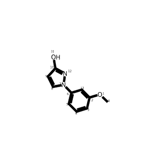 COc1cccc(-n2ccc(O)n2)c1